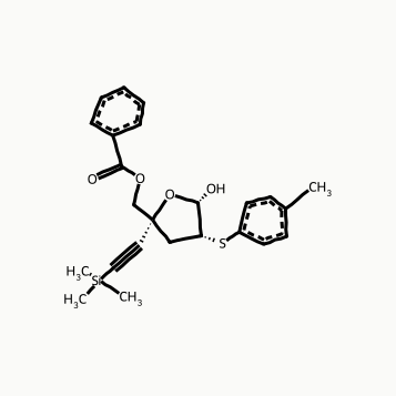 Cc1ccc(S[C@@H]2C[C@@](C#C[Si](C)(C)C)(COC(=O)c3ccccc3)O[C@@H]2O)cc1